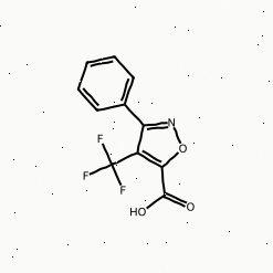 O=C(O)c1onc(-c2ccccc2)c1C(F)(F)F